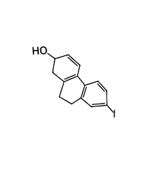 OC1C=CC2=C(CCc3cc(I)ccc32)C1